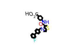 O=C(NC1CCC(C(=O)O)CC1)c1csc2ccn(Cc3ccc(-c4cccc(F)c4)cc3)c12